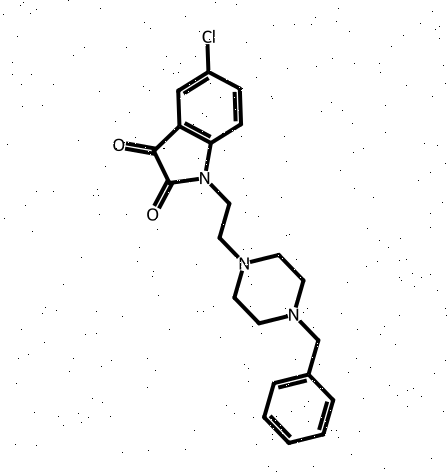 O=C1C(=O)N(CCN2CCN(Cc3ccccc3)CC2)c2ccc(Cl)cc21